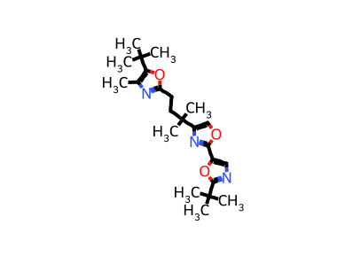 Cc1nc(CCC(C)(C)c2coc(-c3cnc(C(C)(C)C)o3)n2)oc1C(C)(C)C